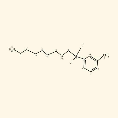 Cc1cccc(C(F)(F)COCCCCCCN)c1